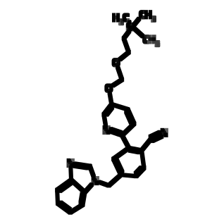 C[Si](C)(C)CCOCOc1ccc(-c2cc(Cn3cnc4ccccc43)ccc2C#N)nc1